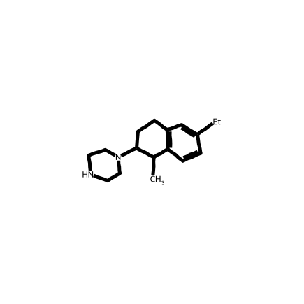 CCc1ccc2c(c1)CCC(N1CCNCC1)C2C